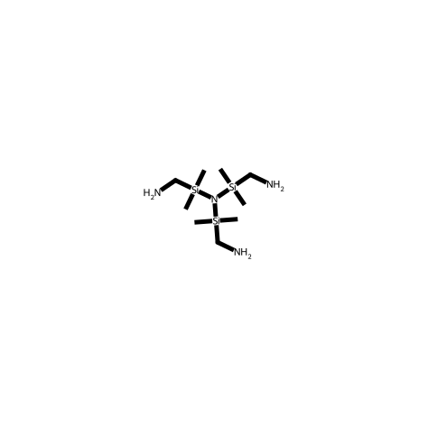 C[Si](C)(CN)N([Si](C)(C)CN)[Si](C)(C)CN